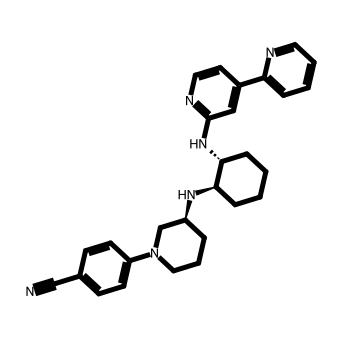 N#Cc1ccc(N2CCC[C@H](N[C@@H]3CCCC[C@H]3Nc3cc(-c4ccccn4)ccn3)C2)cc1